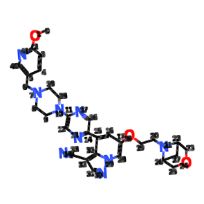 COc1ccc(CN2CCN(c3cnc(-c4cc(OCCN5C6COCC5C6)cn5ncc(C#N)c45)cn3)CC2)cn1